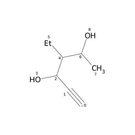 [C]#CC(O)C(CC)C(C)O